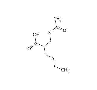 CCCCC(CSC(C)=O)C(=O)O